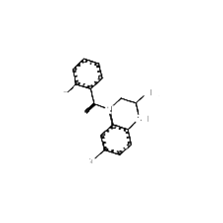 CC1CN(C(=S)c2ccccc2F)c2cc(Br)ccc2N1